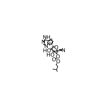 CC(C)CCOC(=O)OC1[C@@]2(C#N)O[C@@H](c3ccc4c(N)ncnn34)[C@H](O)[C@@]12O